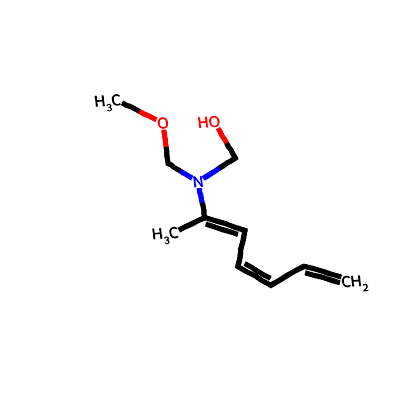 C=C/C=C\C=C(/C)N(CO)COC